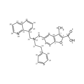 Cc1c(C(=O)O)oc2ccc(SN(CCc3ccccc3)Cc3cccc4cccnc34)cc12